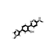 CNc1ccc(-c2ccc(-c3cn(C)cn3)cc2O)nn1